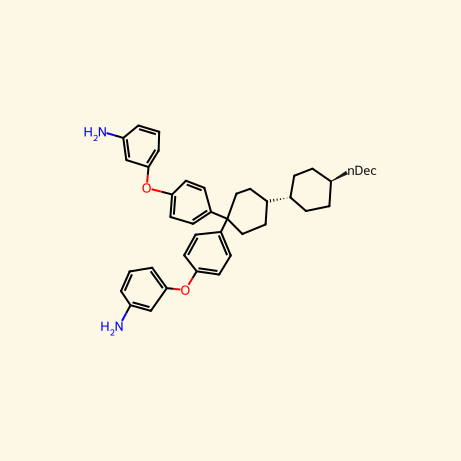 CCCCCCCCCC[C@H]1CC[C@H](C2CCC(c3ccc(Oc4cccc(N)c4)cc3)(c3ccc(Oc4cccc(N)c4)cc3)CC2)CC1